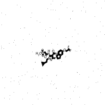 CS(=O)(=O)CC(=O)Nc1c2c(nn1CCC1CC1)C[C@]1(CCc3cc(OCC(F)F)ccc31)NC2=O